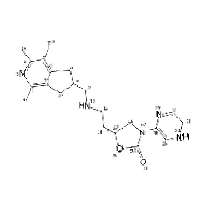 Cc1nc(C)c2c(c1F)CC(CNCCC1CN(C3=CNCC=N3)C(=O)O1)C2